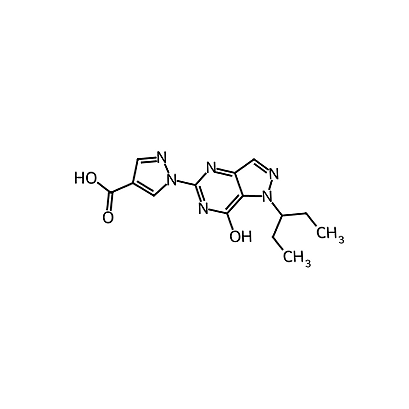 CCC(CC)n1ncc2nc(-n3cc(C(=O)O)cn3)nc(O)c21